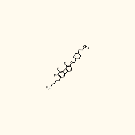 CCCCCc1cc2c(c(F)c1F)-c1c-2ccc(OCC2CCC(CCC)CO2)c1F